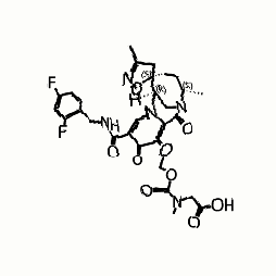 CC1=NO[C@@]2(CC[C@H](C)N3C[C@H]2n2cc(C(=O)NCc4ccc(F)cc4F)c(=O)c(OCOC(=O)N(C)CC(=O)O)c2C3=O)C1